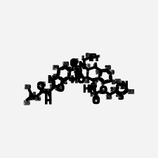 CC(C)CN(C(Cc1ccccc1)C(O)CNC(=O)OCc1cncs1)S(=O)(=O)c1ccc2nc(NC(=O)CN(C)C)oc2c1